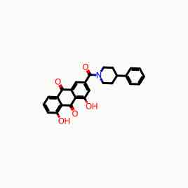 O=C1c2cccc(O)c2C(=O)c2c(O)cc(C(=O)N3CCC(c4ccccc4)CC3)cc21